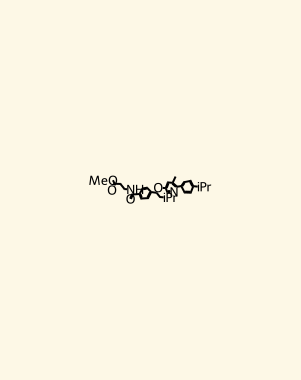 COC(=O)CCNC(=O)c1ccc(C(CC(C)C)Oc2cnc(-c3ccc(C(C)C)cc3)c(C)c2)cc1